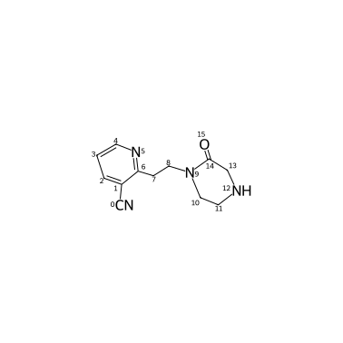 N#Cc1cccnc1CCN1CCNCC1=O